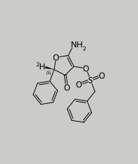 [2H][C@@]1(c2ccccc2)OC(N)=C(OS(=O)(=O)Cc2ccccc2)C1=O